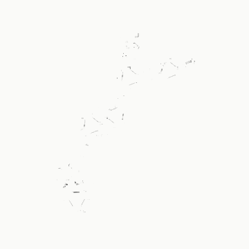 Cc1c(COc2cc(OCc3ccc(C#N)cn3)c(CN3CCCC[C@H]3C(=O)O)cc2Cl)cccc1-c1cccc(OCCCN2CC[C@@](O)(c3ccc(Cl)cc3)[C@](C)(O)C2)c1Cl